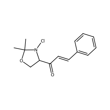 CC1(C)OCC(C(=O)C=Cc2ccccc2)N1Cl